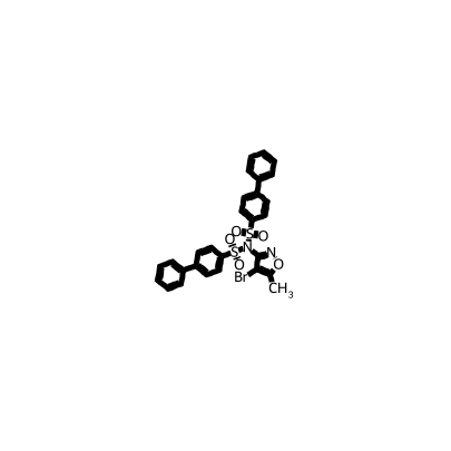 Cc1onc(N(S(=O)(=O)c2ccc(-c3ccccc3)cc2)S(=O)(=O)c2ccc(-c3ccccc3)cc2)c1Br